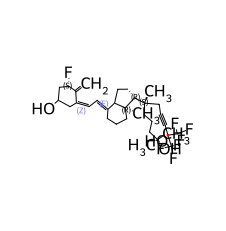 C=C1/C(=C\C=C2/CCC[C@@]3(C)C2CC[C@@H]3[C@](C)(CC#CC(O)(C(F)(F)F)C(F)(F)F)CCCC(C)(C)O)CC(O)C[C@@H]1F